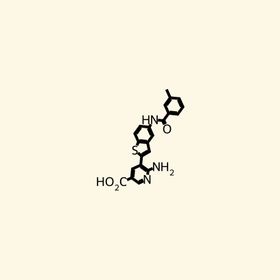 Cc1cccc(C(=O)Nc2ccc3sc(-c4cc(C(=O)O)cnc4N)cc3c2)c1